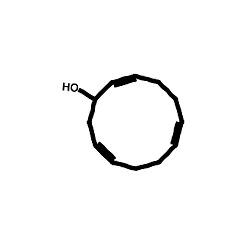 OC1C=CCCC=CCCC=CC1